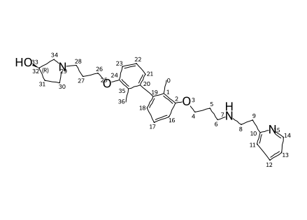 Cc1c(OCCCNCCc2ccccn2)cccc1-c1cccc(OCCCN2CC[C@@H](O)C2)c1C